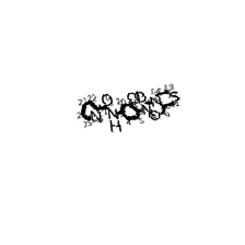 O=C(Nc1ccc(N2OCC3CSCCN3C2=O)c(Cl)c1)c1ccccn1